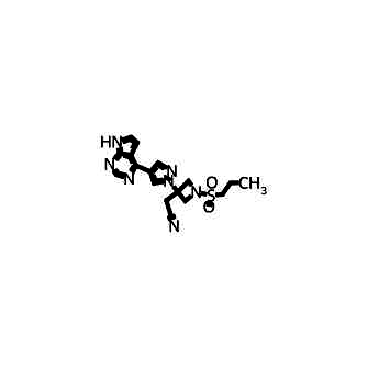 CCCS(=O)(=O)N1CC(CC#N)(n2cc(-c3ncnc4[nH]ccc34)cn2)C1